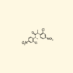 CC(C(=O)C(C)c1ccc([N+](=O)[O-])cc1Cl)c1ccc([N+](=O)[O-])cc1Cl